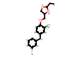 CCC1OCC(COc2ccc(Cc3cccc(F)c3)cc2Cl)O1